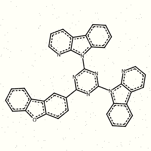 c1ccc2c(c1)oc1ccc(-c3nc(-n4c5ccccc5c5cccnc54)nc(-n4c5ccccc5c5cccnc54)n3)cc12